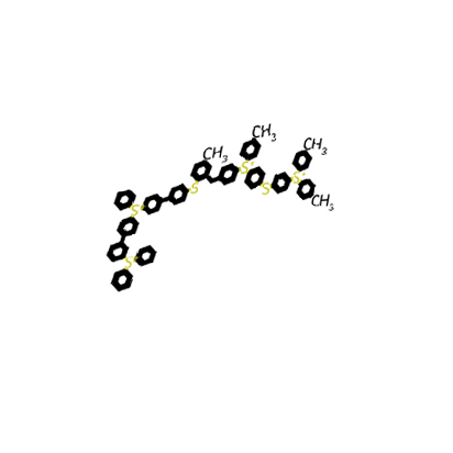 Cc1ccc([S+](c2ccc(C)cc2)c2ccc(Sc3ccc([S+](c4ccc(C)cc4)c4ccc(Cc5cc(C)ccc5Sc5ccc(-c6ccc([S+](c7ccccc7)c7ccc(-c8cccc([S+](c9ccccc9)c9ccccc9)c8)cc7)cc6)cc5)cc4)cc3)cc2)cc1